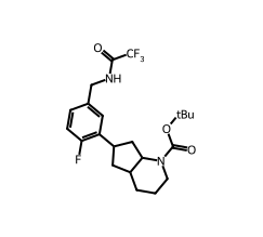 CC(C)(C)OC(=O)N1CCCC2CC(c3cc(CNC(=O)C(F)(F)F)ccc3F)CC21